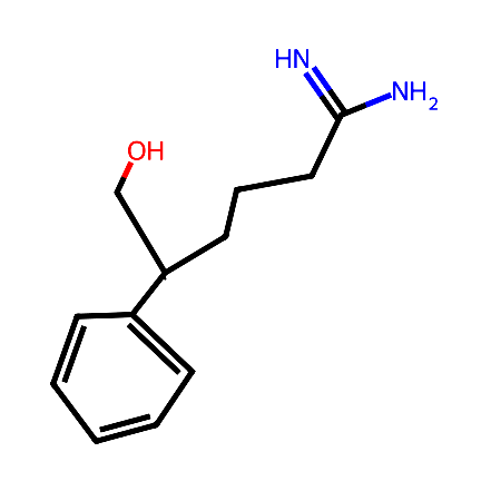 N=C(N)CCC[C](CO)c1ccccc1